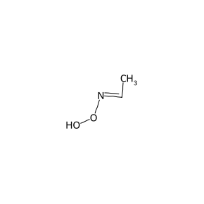 C/C=N/OO